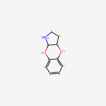 c1ccc2c(c1)OC1CCNC1O2